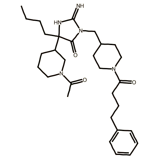 CCCCC1(C2CCCN(C(C)=O)C2)NC(=N)N(CC2CCN(C(=O)CCCc3ccccc3)CC2)C1=O